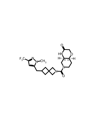 Cn1nc(C(F)(F)F)cc1CC1CC2(C1)CN(C(=O)N1CC[C@@H]3OCC(=O)N[C@@H]3C1)C2